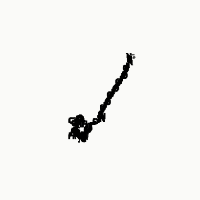 Cc1nc(Nc2ncc(C(=O)Nc3c(C)cccc3Cl)s2)cc(N2CCN(CCOCc3cn(CCOCCOCCOCCOCCOCCOCCOCCN=[N+]=[N-])nn3)CC2)n1